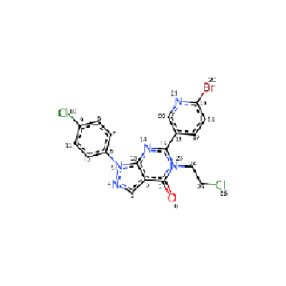 O=c1c2cnn(-c3ccc(Cl)cc3)c2nc(-c2ccc(Br)nc2)n1CCCl